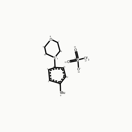 CC(C)(C)c1ccc([S+]2CCOCC2)cc1.O=S(=O)([O-])C(F)(F)F